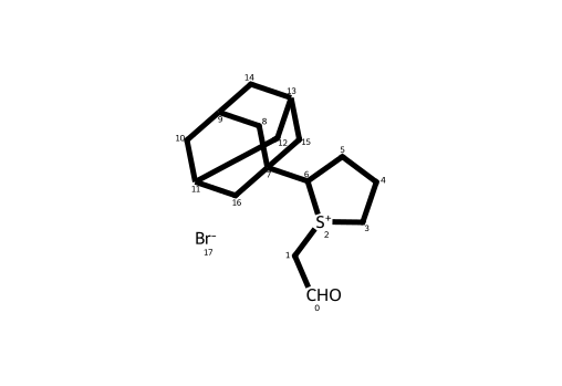 O=CC[S+]1CCCC1C12CC3CC(CC(C3)C1)C2.[Br-]